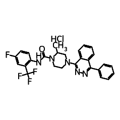 CC1CN(c2nnc(-c3ccccc3)c3ccccc23)CCN1C(=O)Nc1ccc(F)cc1C(F)(F)F.Cl